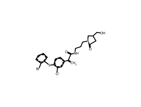 C=C(C(=O)NCCCN1CC(CO)CC1=O)c1ccc(Sc2ccccc2Br)c(Cl)c1